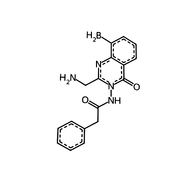 Bc1cccc2c(=O)n(NC(=O)Cc3ccccc3)c(CN)nc12